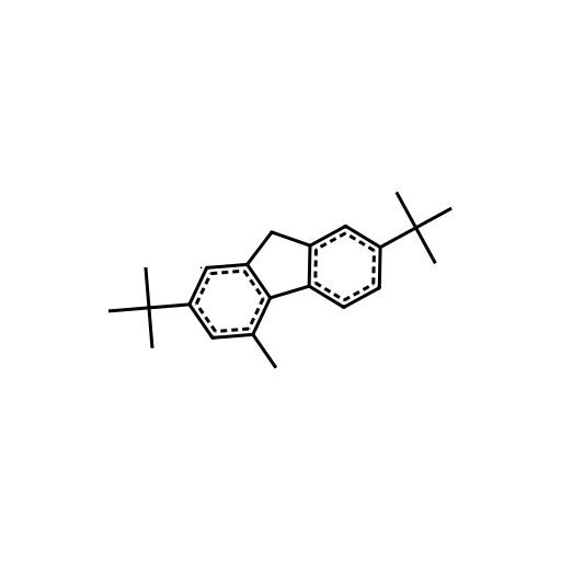 Cc1cc(C(C)(C)C)[c]c2c1-c1ccc(C(C)(C)C)cc1C2